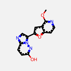 COc1nccc2oc(-c3cnc4ccc(O)nn34)cc12